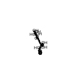 O=C(CCCCCC[C@@H]1[C@@H](CC[C@@H](O)c2cc3ccccc3s2)[C@H](O)C[C@@H]1O)OC[C@@H](O)[C@@H](O)[C@@H](O)CO